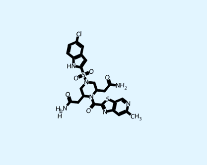 Cc1cc2nc(C(=O)N3C(CC(N)=O)CN(S(=O)(=O)c4cc5cc(Cl)ccc5[nH]4)CC3CC(N)=O)sc2cn1.I